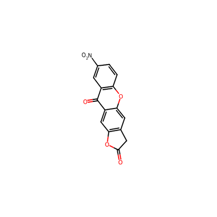 O=C1Cc2cc3oc4ccc([N+](=O)[O-])cc4c(=O)c3cc2O1